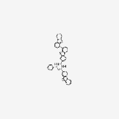 c1ccc(C2N=C(c3ccc4c(c3)oc3ccccc34)NC(c3ccc4c(c3)sc3c(-c5cccc6c5sc5ccccc56)cccc34)N2)cc1